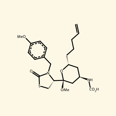 C=CCCC[C@@H]1C[C@@H](NC(=O)O)C[C@](OC)([C@@H]2CSC(=O)N2Cc2ccc(OC)cc2)O1